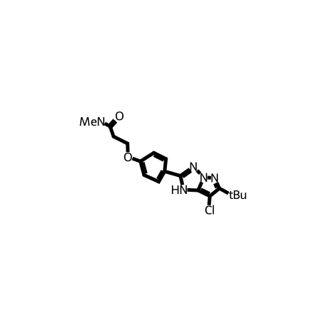 CNC(=O)CCOc1ccc(-c2nn3nc(C(C)(C)C)c(Cl)c3[nH]2)cc1